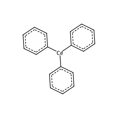 c1cc[c]([Ce]([c]2ccccc2)[c]2ccccc2)cc1